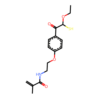 C=C(C)C(=O)NCCOc1ccc(C(=O)C(S)OCC)cc1